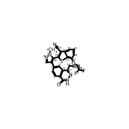 Cn1ncc(-c2ccc3c(=O)[nH]nc(CN)c3c2)c1-c1sc2c(OCC(F)F)cccc2c1C#N